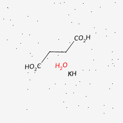 O.O=C(O)CCC(=O)O.[KH]